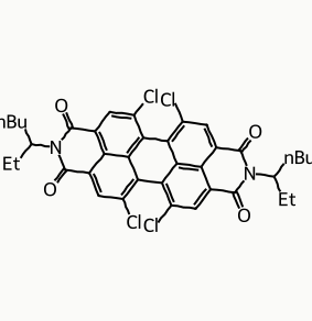 CCCCC(CC)N1C(=O)c2cc(Cl)c3c4c(Cl)cc5c6c(cc(Cl)c(c7c(Cl)cc(c2c37)C1=O)c64)C(=O)N(C(CC)CCCC)C5=O